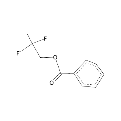 CC(F)(F)COC(=O)c1ccccc1